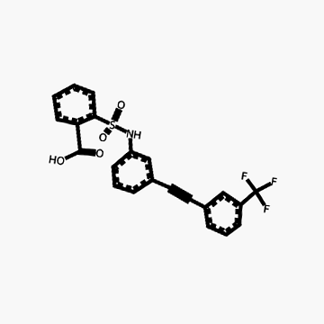 O=C(O)c1ccccc1S(=O)(=O)Nc1cccc(C#Cc2cccc(C(F)(F)F)c2)c1